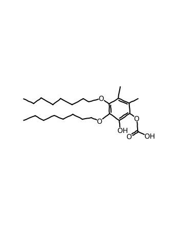 CCCCCCCCOc1c(C)c(C)c(OC(=O)O)c(O)c1OCCCCCCCC